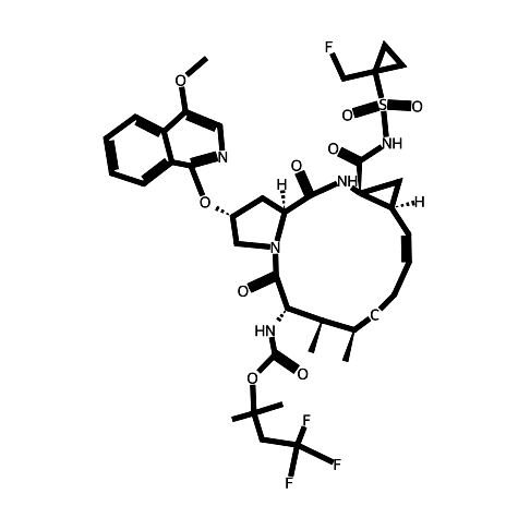 COc1cnc(O[C@@H]2C[C@H]3C(=O)N[C@]4(C(=O)NS(=O)(=O)C5(CF)CC5)C[C@H]4/C=C\CC[C@@H](C)[C@@H](C)[C@H](NC(=O)OC(C)(C)CC(F)(F)F)C(=O)N3C2)c2ccccc12